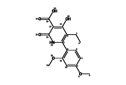 CCc1c(-c2ccc(OC)cc2OC)[nH]c(=O)c(C(=O)O)c1O